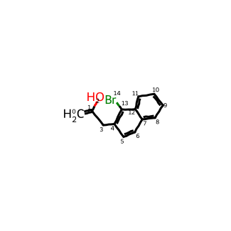 C=C(O)Cc1ccc2ccccc2c1Br